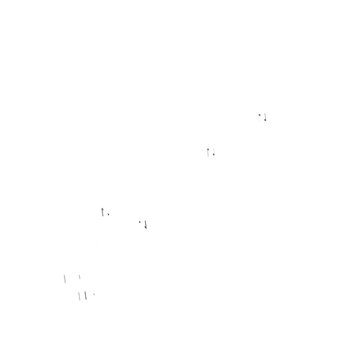 C/C=C\C(=C/C)c1nc(-c2ccc(-c3ccccc3)cc2)cc(-c2ccc(-c3ccccc3-c3nc4ccccc4c4c5ccccc5n(-c5ccccc5)c34)cc2)n1